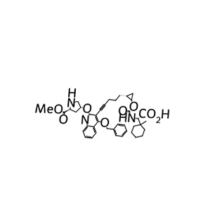 COC(=O)[C@@H]1C[C@@H](Oc2nc3ccccc3c(OCc3ccccc3)c2C#CCCC[C@@H]2C[C@H]2OC(=O)NC(C(=O)O)C2(C)CCCCC2)CN1